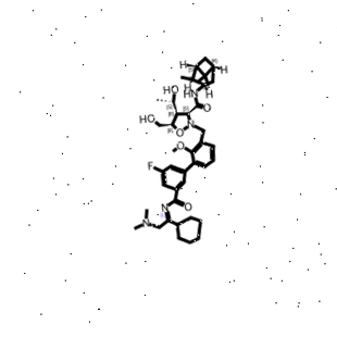 COc1c(CN2O[C@@H](CO)[C@@H]([C@H](C)O)[C@H]2C(=O)N[C@H]2C[C@H]3C[C@@H]([C@@H]2C)C3(C)C)cccc1-c1cc(F)cc(C(=O)/N=C(/CN(C)C)C2CCCCC2)c1